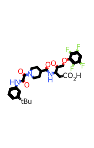 CC(C)(C)c1cccc(NC(=O)C(=O)N2CCC(C(=O)NC(CC(=O)O)C(=O)COc3c(F)c(F)cc(F)c3F)CC2)c1